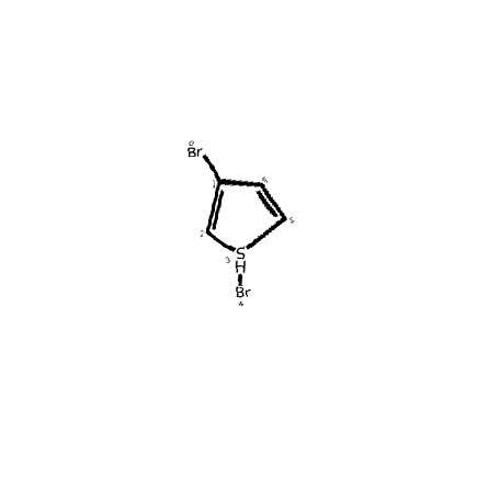 BrC1=C[SH](Br)C=C1